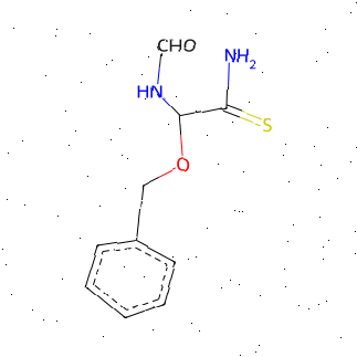 NC(=S)C(NC=O)OCc1ccccc1